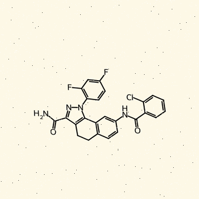 NC(=O)c1nn(-c2ccc(F)cc2F)c2c1CCc1ccc(NC(=O)c3ccccc3Cl)cc1-2